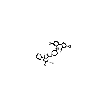 CC(C)(C)OC(=O)CC(C)(CCCN1CCC(NC(=O)c2cc(Cl)ccc2-c2ccc(Cl)cc2)CC1)c1ccccc1